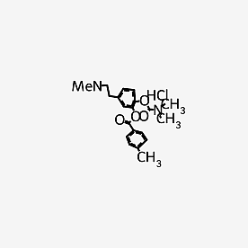 CNCCc1ccc(OC(=O)N(C)C)c(OC(=O)c2ccc(C)cc2)c1.Cl